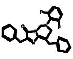 O=C1C(Cc2ccccc2)=NC2=C(Cc3ccccc3)CN(c3c(F)cccc3F)CN12